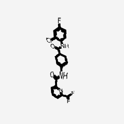 O=C(NC1CCC(C(=O)Nc2ccc(F)cc2Cl)CC1)c1cccc(C(F)F)n1